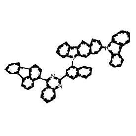 c1ccc2c(c1)-c1cccc3c(-c4nc(-c5cc(-n6c7ccccc7c7cc8ccc(-n9c%10ccccc%10c%10ccccc%109)cc8cc76)c6ccccc6c5)nc5ccccc45)ccc-2c13